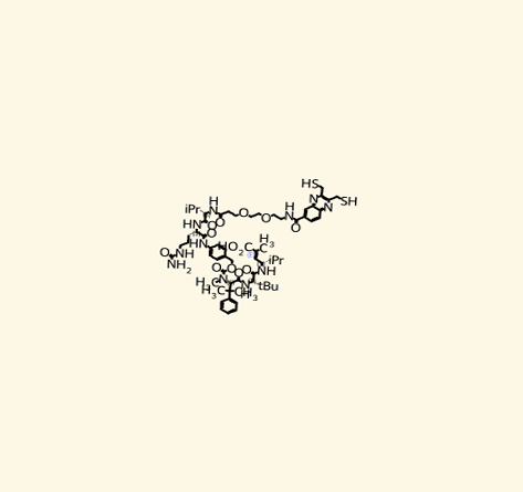 C/C(=C\[C@@H](NC(=O)[C@@H](NC(=O)[C@@H](N(C)C(=O)OCc1ccc(NC(=O)[C@H](CCCNC(N)=O)NC(=O)[C@@H](NC(=O)CCOCCOCCNC(=O)c2ccc3nc(CS)c(CS)nc3c2)C(C)C)cc1)C(C)(C)c1ccccc1)C(C)(C)C)C(C)C)C(=O)O